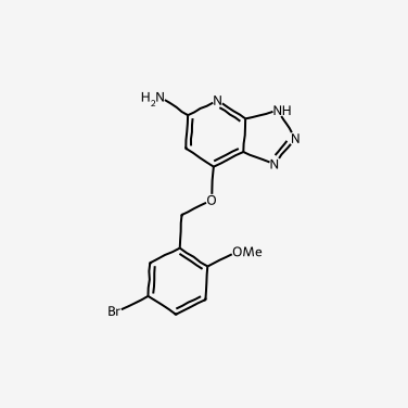 COc1ccc(Br)cc1COc1cc(N)nc2[nH]nnc12